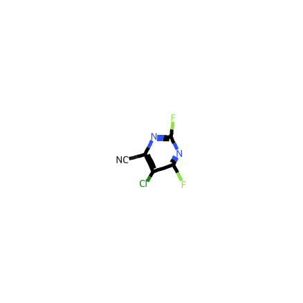 N#Cc1nc(F)nc(F)c1Cl